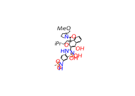 COC[C@@H]1CCCN1C(=O)[C@@]1(CCC(C)C)C(=O)C(C2=NS(O)(O)c3cc(NS(C)(=O)=O)ccc3N2)=C(O)c2ccccc21